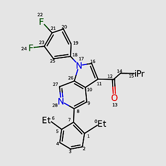 CCc1cccc(CC)c1-c1cc2c(C(=O)CC(C)C)cn(-c3ccc(F)c(F)c3)c2cn1